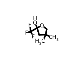 CC1(C)COC(O)(C(F)(F)F)C1